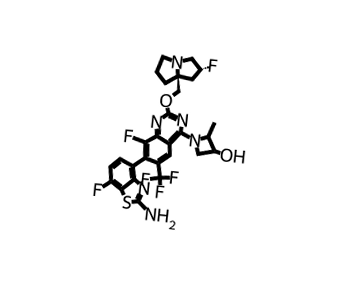 CC1C(O)CN1c1nc(OC[C@@]23CCCN2C[C@H](F)C3)nc2c(F)c(-c3ccc(F)c4sc(N)nc34)c(C(F)(F)F)cc12